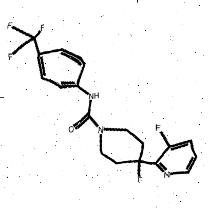 O=C(Nc1ccc(C(F)(F)F)cc1)N1CCC(F)(c2ncccc2F)CC1